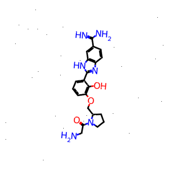 N=C(N)c1ccc2nc(-c3cccc(OCC4CCCN4C(=O)CN)c3O)[nH]c2c1